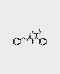 COC(=O)N(NC(=O)OCc1ccccc1)c1ccccc1